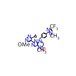 COc1ncnc(C2CC2)c1-c1ncc2c(n1)N(Cc1ccc(-c3nc(C(F)(F)F)cn3C)cc1)CCC(=O)N2C